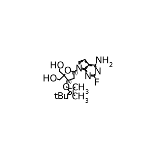 CC(C)(C)[Si](C)(C)O[C@H]1C[C@H](n2ccc3c(N)nc(F)nc32)OC1(CO)CO